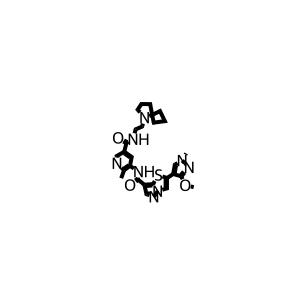 COc1nn(C)cc1-c1cn2ncc(C(=O)Nc3cc(C(=O)NCCN4CCCC45CCC5)cnc3C)c2s1